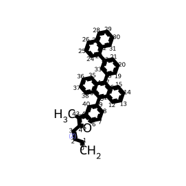 C=C/C=C\c1oc2ccc(-c3c4ccccc4c(-c4cccc(-c5cccc6ccccc56)c4)c4ccccc34)cc2c1C